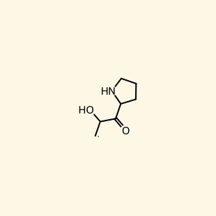 [CH2]C(O)C(=O)C1CCCN1